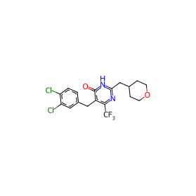 O=c1[nH]c(CC2CCOCC2)nc(C(F)(F)F)c1Cc1ccc(Cl)c(Cl)c1